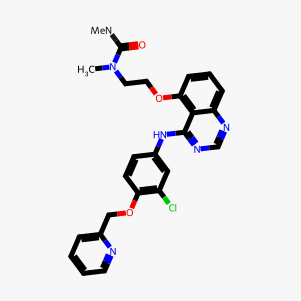 CNC(=O)N(C)CCOc1cccc2ncnc(Nc3ccc(OCc4ccccn4)c(Cl)c3)c12